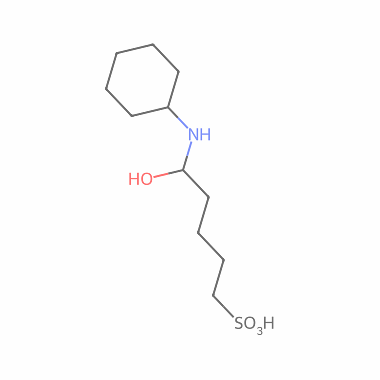 O=S(=O)(O)CCCCC(O)NC1CCCCC1